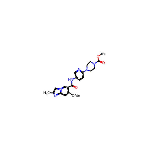 COc1cc2nc(C)cn2cc1C(=O)Nc1ccc(N2CCN(C(=O)OC(C)(C)C)CC2)nc1